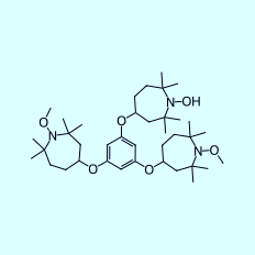 CON1C(C)(C)CCC(Oc2cc(OC3CCC(C)(C)N(O)C(C)(C)C3)cc(OC3CCC(C)(C)N(OC)C(C)(C)C3)c2)CC1(C)C